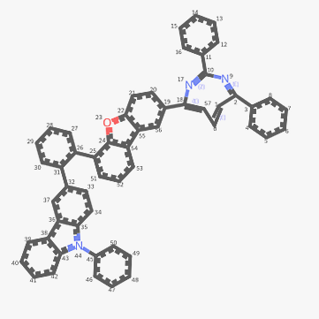 C1=C/C(c2ccccc2)=N\C(c2ccccc2)=N/C(c2ccc3oc4c(-c5ccccc5-c5ccc6c(c5)c5ccccc5n6-c5ccccc5)cccc4c3c2)=C/1